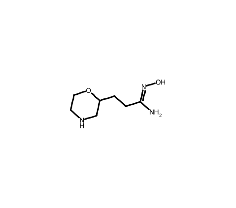 NC(CCC1CNCCO1)=NO